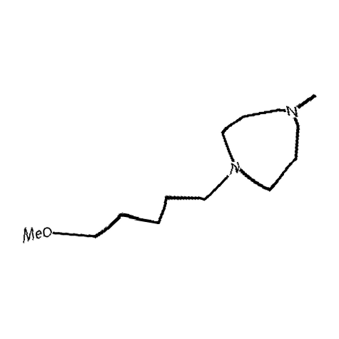 COCCCCCN1CCN(C)CC1